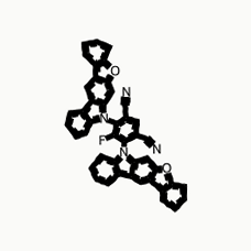 N#Cc1cc(C#N)c(-n2c3ccccc3c3cc4c(cc32)oc2ccccc24)c(F)c1-n1c2ccccc2c2cc3c(cc21)oc1ccccc13